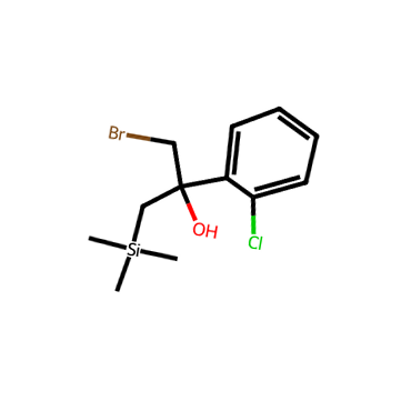 C[Si](C)(C)CC(O)(CBr)c1ccccc1Cl